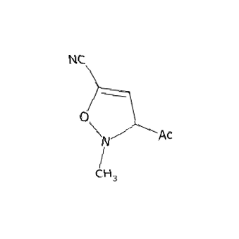 CC(=O)C1C=C(C#N)ON1C